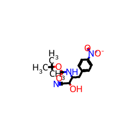 CC(C)(C)OC(=O)NC(Cc1ccc([N+](=O)[O-])cc1)C(O)C#N